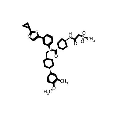 COc1ccc([C@H]2CC[C@H](CN(c3cccc(-c4cnc(C5CC5)s4)c3)C(=O)[C@H]3CC[C@H](NC(=O)CS(C)(=O)=O)CC3)CC2)cc1C